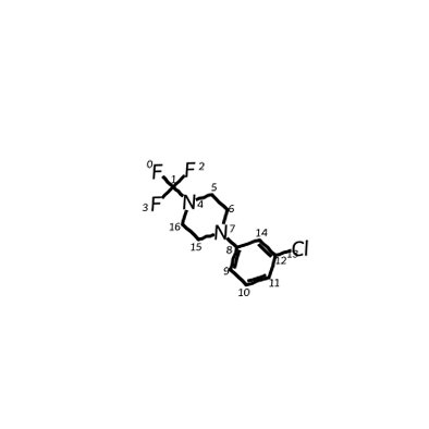 FC(F)(F)N1CCN(c2cccc(Cl)c2)CC1